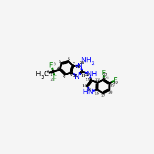 CC(F)(F)c1ccc2c(c1)nc(Nc1c[nH]c3ccc(F)c(F)c13)n2N